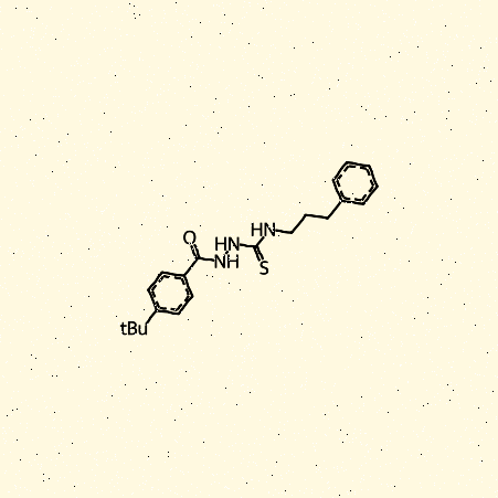 CC(C)(C)c1ccc(C(=O)NNC(=S)NCCCc2ccccc2)cc1